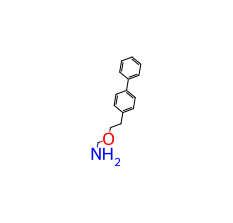 NCOCCc1ccc(-c2ccccc2)cc1